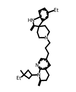 C=C1CCc2cc(CCCN3CCC4(CC3)C(=C)Nc3ccc(CC)cc34)cnc2N1C1CC(C)(CC)C1